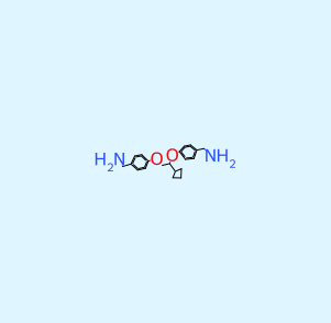 NCc1ccc(OCC(Oc2ccc(CN)cc2)C2CCC2)cc1